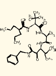 CCCC(CCC)C(=O)N[C@H](C(=O)N[C@@H](C)C(=O)N[C@H](C(=O)C(=O)NCc1ccccc1)C(C)C)C(C)(C)C